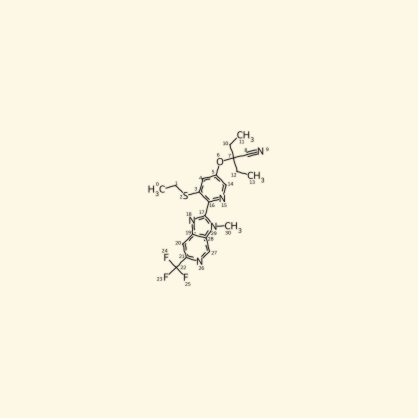 CCSc1cc(OC(C#N)(CC)CC)cnc1-c1nc2cc(C(F)(F)F)ncc2n1C